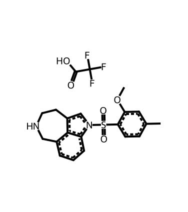 COc1cc(C)ccc1S(=O)(=O)n1cc2c3c(cccc31)CNCC2.O=C(O)C(F)(F)F